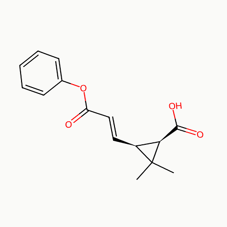 CC1(C)[C@H](C(=O)O)[C@@H]1C=CC(=O)Oc1ccccc1